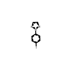 Ic1c[c]c(-n2nccn2)cc1